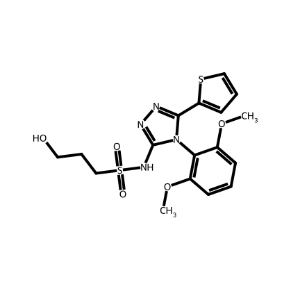 COc1cccc(OC)c1-n1c(NS(=O)(=O)CCCO)nnc1-c1cccs1